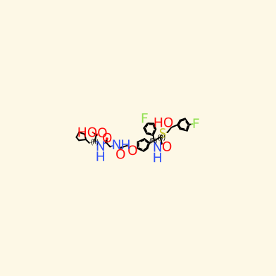 O=C(COc1ccc([C@]2(c3ccc(F)cc3)NC(=O)[C@@H]2SCC(O)c2ccc(F)cc2)cc1)NCC(=O)N[C@H](CC1CCCC1)C(=O)O